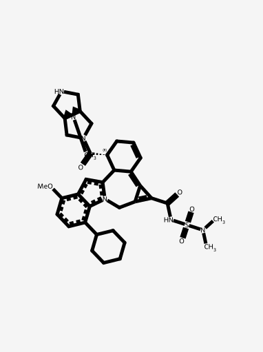 COc1ccc(C2CCCCC2)c2c1cc1n2CC2=C(C(=O)NS(=O)(=O)N(C)C)C2=C2C=CC[C@@H](C(=O)N3CC45CNCC4(CN(C)C5)C3)C21